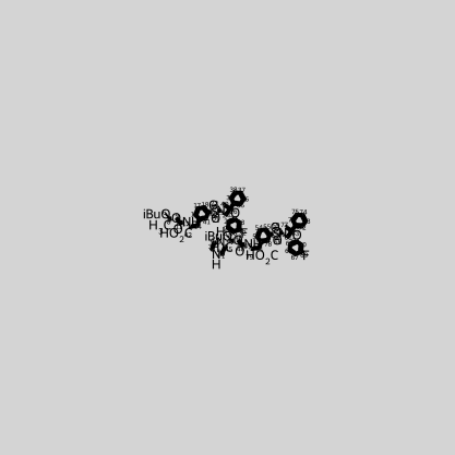 C1CNCCN1.CC(C)CO[C@H](C)OC(=O)N[C@@H](Cc1cccc(S(=O)(=O)N2CC(Oc3cccc(F)c3)(c3ccccc3)C2)c1)C(=O)O.CC(C)CO[C@H](C)OC(=O)N[C@@H](Cc1cccc(S(=O)(=O)N2CC(Oc3cccc(F)c3)(c3ccccc3)C2)c1)C(=O)O